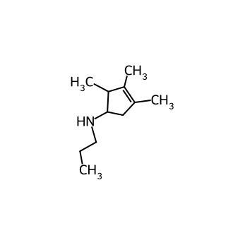 CCCNC1CC(C)=C(C)C1C